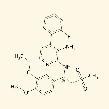 CCOc1cc([C@@H](CS(C)(=O)=O)Nc2nccc(-c3ccccc3F)c2N)ccc1OC